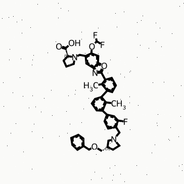 Cc1c(-c2ccc(CN3CC[C@H](COCc4ccccc4)C3)c(F)c2)cccc1-c1cccc(-c2nc3cc(CN4CCC[C@H]4C(=O)O)c(OC(F)F)cc3o2)c1C